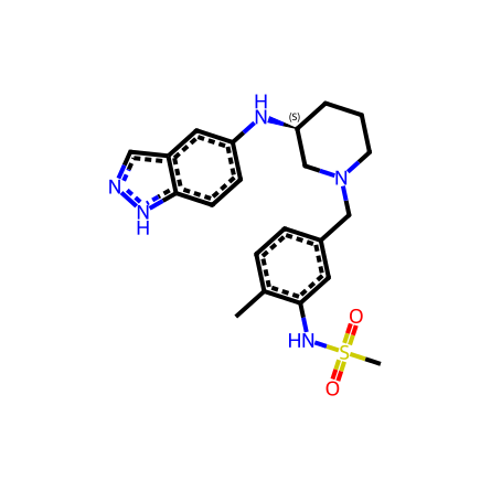 Cc1ccc(CN2CCC[C@H](Nc3ccc4[nH]ncc4c3)C2)cc1NS(C)(=O)=O